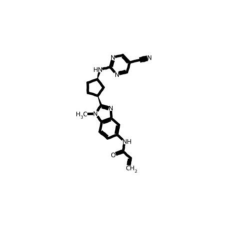 C=CC(=O)Nc1ccc2c(c1)nc([C@H]1CC[C@@H](Nc3ncc(C#N)cn3)C1)n2C